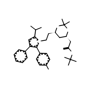 CC(C)c1cc(-c2ccccc2)c(-c2ccc(F)cc2)n1CC[C@@H]1C[C@H](CC(=O)OC(C)(C)C)OC(C)(C)O1